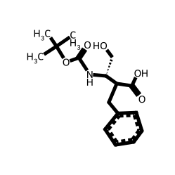 CC(C)(C)OC(=O)N[C@H](CO)C(Cc1ccccc1)C(=O)O